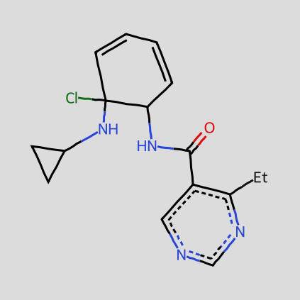 CCc1ncncc1C(=O)NC1C=CC=CC1(Cl)NC1CC1